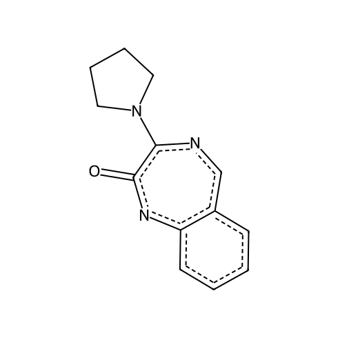 O=c1nc2ccccc2cnc1N1CCCC1